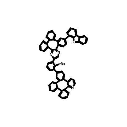 CC(C)(C)c1c(-c2ccc3c(c2)-c2ccccc2-c2ccccc2-c2ncccc2-3)cccc1-c1cnc2c(n1)-c1ccccc1-c1ccccc1-c1cc(-c3cccc4c3oc3ccccc34)ccc1-2